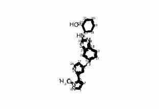 Cn1nccc1-c1cc(Oc2ccc3nc(N[C@@H]4CCCC[C@H]4O)sc3c2)ccn1